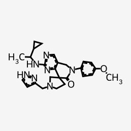 COc1ccc(N2Cc3cnc(NC(C)C4CC4)nc3C3(CCN(Cc4cc[nH]n4)C3)C2=O)cc1